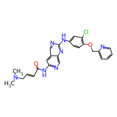 CN(C)C/C=C/C(=O)Nc1cc2cnc(Nc3ccc(OCc4ccccn4)c(Cl)c3)nc2cn1